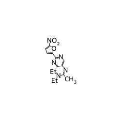 CCN(CC)C(C)=Nc1cnc(-c2ccc([N+](=O)[O-])o2)nc1